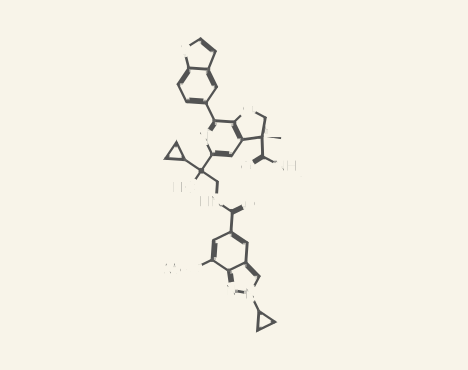 COc1cc(C(=O)NCC(O)(c2cc3c(c(-c4ccc5sccc5c4)n2)OC[C@]3(C)C(N)=O)C2CC2)cc2cn(C3CC3)nc12